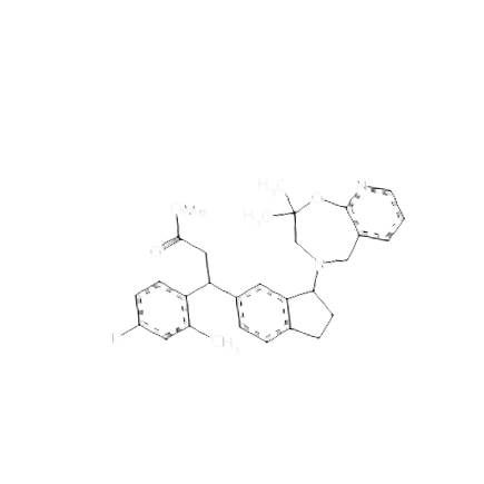 COC(=O)CC(c1ccc2c(c1)C(N1Cc3cccnc3OC(C)(C)C1)CC2)c1ccc(F)cc1C